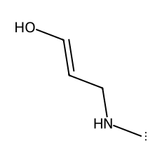 [C]NCC=CO